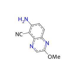 COc1cnc2c(C#N)c(N)ccc2n1